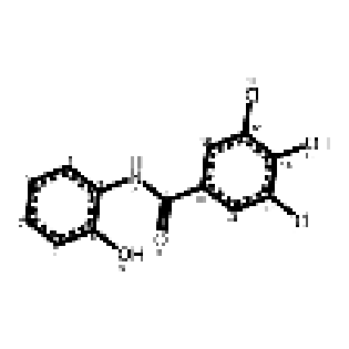 O=C(Nc1ccccc1O)c1cc(Cl)c(O)c(Cl)c1